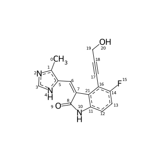 Cc1nc[nH]c1C=C1C(=O)Nc2ccc(F)c(C#CCO)c21